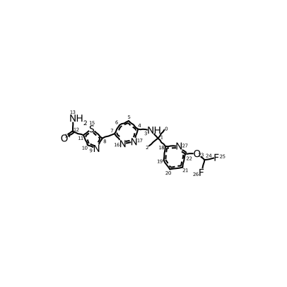 CC(C)(Nc1ccc(-c2ncc(C(N)=O)s2)nn1)c1cccc(OC(F)F)n1